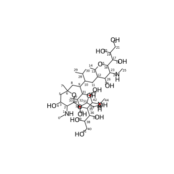 CNC1C(O)CC(C)(CC(C(CC2C(C)OC(C(O)C(O)CO)C(NC)C2O)C(C)C)C2C(C)OC(C(O)C(O)CO)C(NC)C2O)OC1C(O)C(O)CO